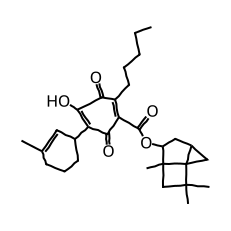 CCCCCC1=C(C(=O)OC2CC3CC34C(C)(C)CC24C)C(=O)C(C2C=C(C)CCC2)=C(O)C1=O